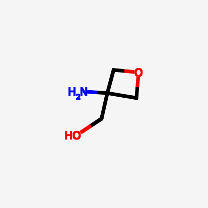 NC1(CO)COC1